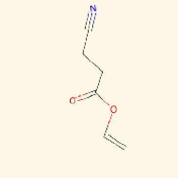 C=COC(=O)CCC#N